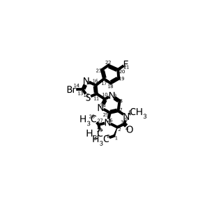 CC[C@@H]1C(=O)N(C)c2cnc(-c3sc(Br)nc3-c3ccc(F)cc3)nc2N1C(C)C